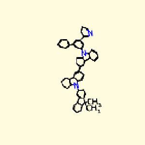 CC1(C)C2=CCC(N3C4=C(CCCC4)C4C=C(C5C=C6C7C=CC=CC7N(c7cc(C8=CN=CCC8)cc(-c8ccccc8)c7)C6CC5)C=CC43)C=C2C2C=CCCC21